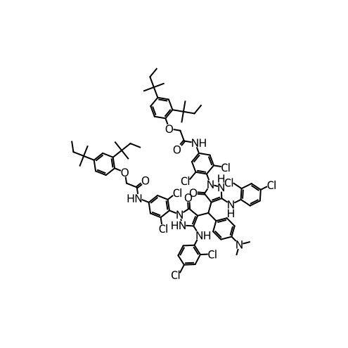 CCC(C)(C)c1ccc(OCC(=O)Nc2cc(Cl)c(-n3[nH]c(Nc4ccc(Cl)cc4Cl)c(C(c4ccc(N(C)C)cc4)c4c(Nc5ccc(Cl)cc5Cl)[nH]n(-c5c(Cl)cc(NC(=O)COc6ccc(C(C)(C)CC)cc6C(C)(C)CC)cc5Cl)c4=O)c3=O)c(Cl)c2)c(C(C)(C)CC)c1